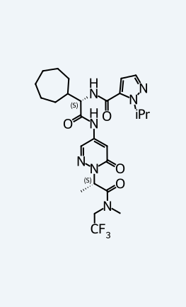 CC(C)n1nccc1C(=O)N[C@H](C(=O)Nc1cnn([C@@H](C)C(=O)N(C)CC(F)(F)F)c(=O)c1)C1CCCCCC1